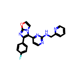 Fc1ccc(-c2nc3occn3c2-c2ccnc(NCc3ccccn3)n2)cc1